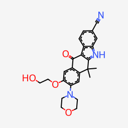 CC1(C)c2cc(N3CCOCC3)c(OCCO)cc2C(=O)c2c1[nH]c1cc(C#N)ccc21